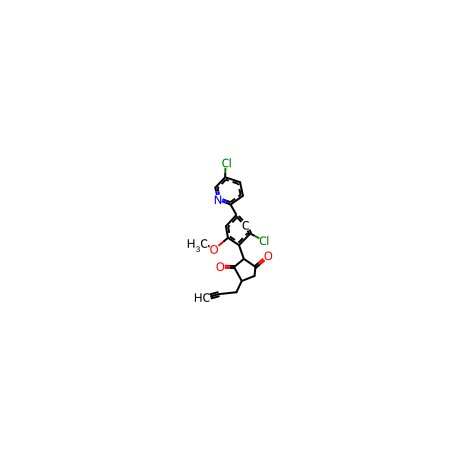 C#CCC1CC(=O)C(c2c(Cl)cc(-c3ccc(Cl)cn3)cc2OC)C1=O